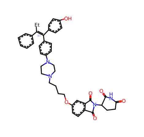 CC/C(=C(\c1ccc(O)cc1)c1ccc(N2CCN(CCCCOc3ccc4c(c3)C(=O)N(C3CCC(=O)NC3=O)C4=O)CC2)cc1)c1ccccc1